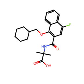 CC(C)(NC(=O)c1cc(F)c2ccccc2c1OCC1CCCCC1)C(=O)O